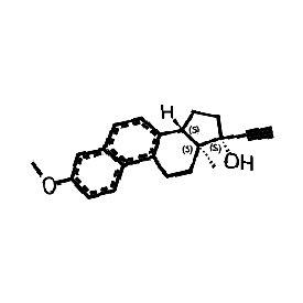 C#C[C@]1(O)CC[C@H]2c3ccc4cc(OC)ccc4c3CC[C@@]21C